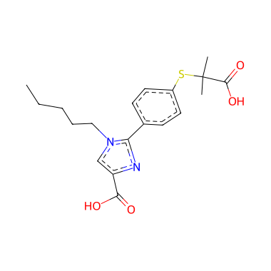 CCCCCn1cc(C(=O)O)nc1-c1ccc(SC(C)(C)C(=O)O)cc1